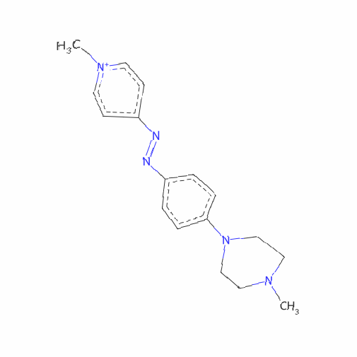 CN1CCN(c2ccc(/N=N/c3cc[n+](C)cc3)cc2)CC1